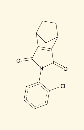 O=C1C2=C(C(=O)N1c1ccccc1Cl)C1CCC2C1